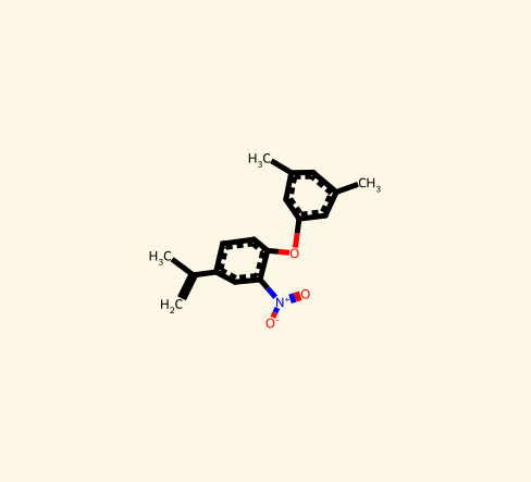 C=C(C)c1ccc(Oc2cc(C)cc(C)c2)c([N+](=O)[O-])c1